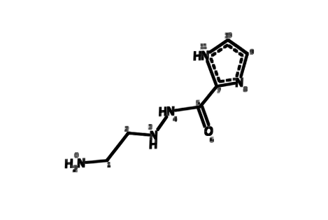 NCCNNC(=O)c1ncc[nH]1